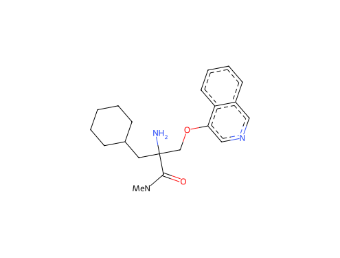 CNC(=O)C(N)(COc1cncc2ccccc12)CC1CCCCC1